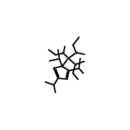 CC[N](C)[Ti]([N](C)CC)([N](C)CC)[C]1(C(C)C)C=C(C(C)C)C=C1C(C)C